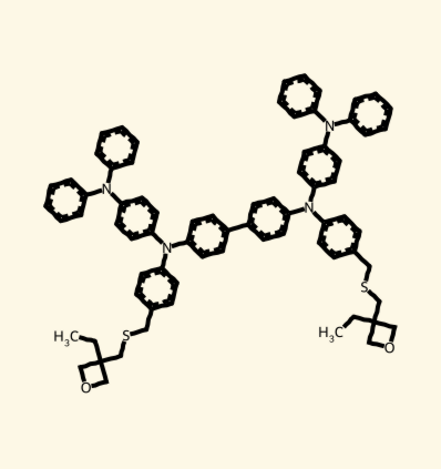 CCC1(CSCc2ccc(N(c3ccc(-c4ccc(N(c5ccc(CSCC6(CC)COC6)cc5)c5ccc(N(c6ccccc6)c6ccccc6)cc5)cc4)cc3)c3ccc(N(c4ccccc4)c4ccccc4)cc3)cc2)COC1